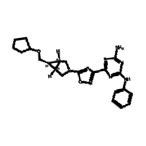 Nc1nc(Nc2ccccc2)nc(-c2noc(N3C[C@@H]4[C@@H](COC5CCCC5)[C@@H]4C3)n2)n1